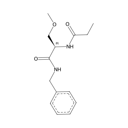 CCC(=O)N[C@H](COC)C(=O)NCc1ccccc1